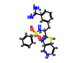 N=C(N)c1cccc(CC(NS(=O)(=O)c2ccccc2)c2nc3cnccc3s2)c1